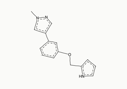 Cn1cc(-c2c[c]cc(OCc3ccc[nH]3)c2)cn1